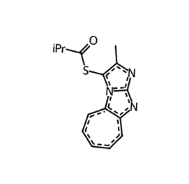 Cc1nc2nc3cccccc3n2c1SC(=O)C(C)C